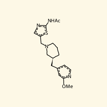 COc1cc(C[C@@H]2CCCN(Cc3cnc(NC(C)=O)s3)C2)ccn1